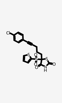 O=C1NC(=O)C(CCCC#Cc2ccc(Cl)cc2)(S(=O)(=O)c2cccs2)S1